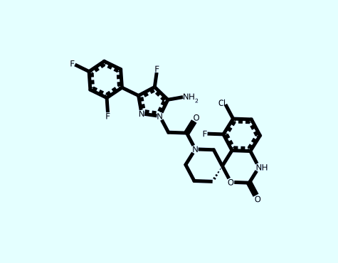 Nc1c(F)c(-c2ccc(F)cc2F)nn1CC(=O)N1CCC[C@@]2(C1)OC(=O)Nc1ccc(Cl)c(F)c12